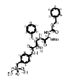 CCOP(=O)(Cc1ccc(NC(=O)[C@H](O)[C@H](Cc2ccccc2)NC(=O)[C@@H](NC(=O)OCc2ccccc2)[C@@H](C)CC)cc1)OCC